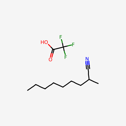 CCCCCCCC(C)C#N.O=C(O)C(F)(F)F